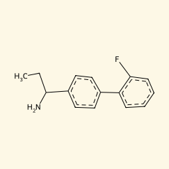 CCC(N)c1ccc(-c2ccccc2F)cc1